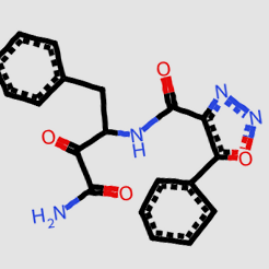 NC(=O)C(=O)C(Cc1ccccc1)NC(=O)c1nnoc1-c1ccccc1